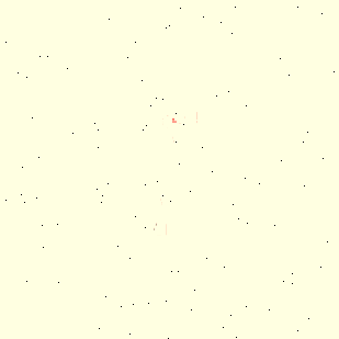 CCCCC=CCCCCCCCCC=CCC(=O)O